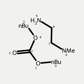 CCCCOC(=O)OCCCC.CNCCN